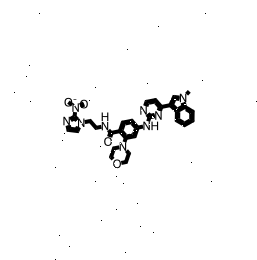 Cn1cc(-c2ccnc(Nc3ccc(C(=O)NCCn4ccnc4[N+](=O)[O-])c(N4CCOCC4)c3)n2)c2ccccc21